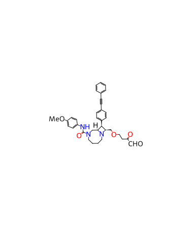 COc1ccc(NC(=O)N2CCCCN3[C@H](COCCC(=O)C=O)[C@H](c4ccc(C#Cc5ccccc5)cc4)[C@@H]3C2)cc1